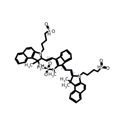 CN(C1=C(/C=C/C2N(CCCC[SH](=O)=O)c3ccc4ccccc4c3C2(C)C)c2ccccc2/C1=C\C=C1\N(CCCC[SH](=O)=O)c2ccc3ccccc3c2C1(C)C)S(=O)(=O)C(F)(F)F